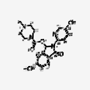 CN1CCN(C(=O)OC2c3nccnc3C(=O)N2c2ccc(Cl)cn2)CC1.Cl